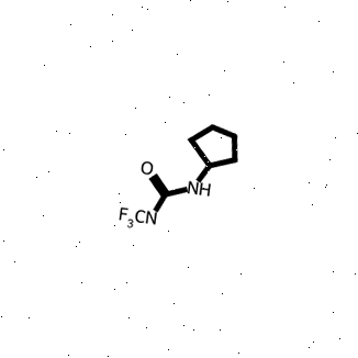 O=C(NC1CCCC1)NC(F)(F)F